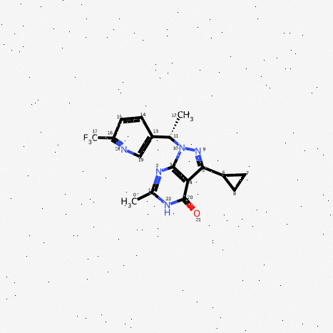 Cc1nc2c(c(C3CC3)nn2[C@@H](C)c2ccc(C(F)(F)F)nc2)c(=O)[nH]1